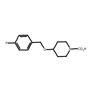 O=C(O)N1CCC(OCc2ccc(F)cc2)CC1